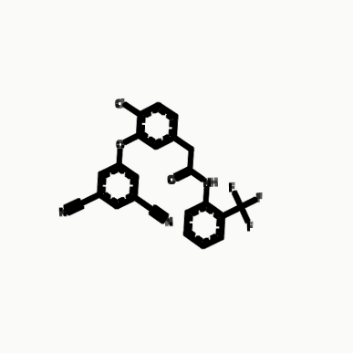 N#Cc1cc(C#N)cc(Oc2cc(CC(=O)Nc3ccccc3C(F)(F)F)ccc2Cl)c1